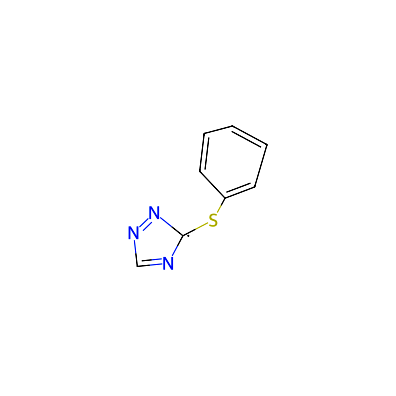 C1=N[C](Sc2ccccc2)N=N1